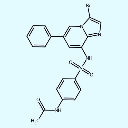 CC(=O)Nc1ccc(S(=O)(=O)Nc2cc(-c3ccccc3)cn3c(Br)cnc23)cc1